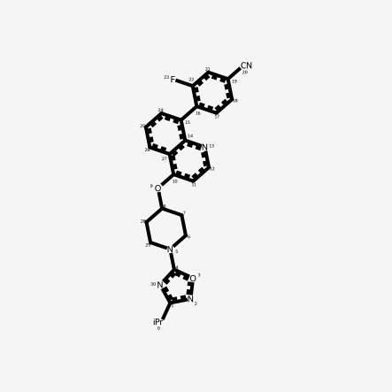 CC(C)c1noc(N2CCC(Oc3ccnc4c(-c5ccc(C#N)cc5F)cccc34)CC2)n1